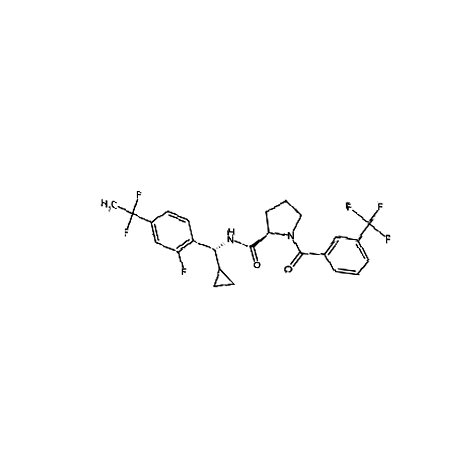 CC(F)(F)c1ccc([C@H](NC(=O)[C@H]2CCCN2C(=O)c2cccc(C(F)(F)F)c2)C2CC2)c(F)c1